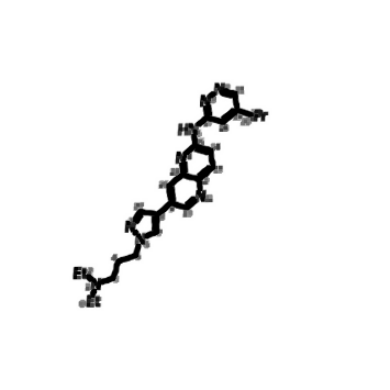 CCN(CC)CCCn1cc(-c2cnc3ccc(Nc4cc(C(C)C)cnn4)nc3c2)cn1